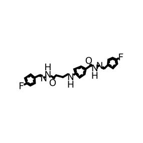 O=C(CCCNc1ccc(C(=O)NN=Cc2ccc(F)cc2)cc1)NN=Cc1ccc(F)cc1